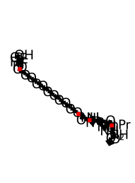 CCCN(OCCNC(=O)OC1CCC1)C(=O)C1=Cc2ccc(-c3cnc(CNC(=O)CCOCCOCCOCCOCCOCCOCCOCCOCCOCCOCCC(=O)Oc4c(F)c(F)c(S(=O)O)c(F)c4F)nc3)cc2N=C(N)C1